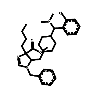 CCCCC1(C(=O)OC)N=CN(Cc2ccccc2)C1CC1CCC(C(c2ccccc2Cl)N(C)C)CC1